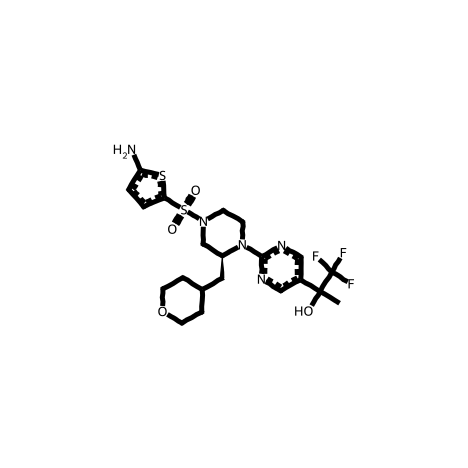 CC(O)(c1cnc(N2CCN(S(=O)(=O)c3ccc(N)s3)C[C@@H]2CC2CCOCC2)nc1)C(F)(F)F